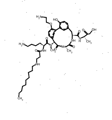 CCCCCCCCCCNCCC(=O)N[C@@H](CCCCN)C(=O)N(C)[C@@H]1C(=O)N[C@@H](C)C(=O)N[C@H](C(=O)N[C@@H](C)C(=O)CO)Cc2ccc(O)c(c2)-c2cc1ccc2OCCN